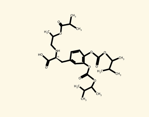 CC(CN[C@@H](Cc1ccc(OC(=O)OC(C)C(C)C)c(OC(=O)OC(C)C(C)C)c1)C(=O)O)OC(=O)C(C)C